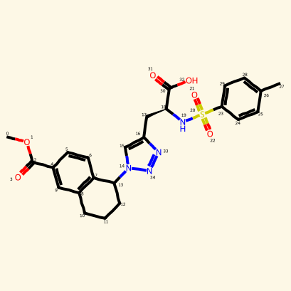 COC(=O)c1ccc2c(c1)CCCC2n1cc(C[C@H](NS(=O)(=O)c2ccc(C)cc2)C(=O)O)nn1